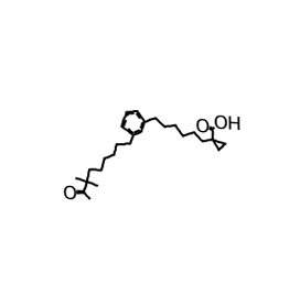 CC(=O)C(C)(C)CCCCCCc1cccc(CCCCCCC2(C(=O)O)CC2)c1